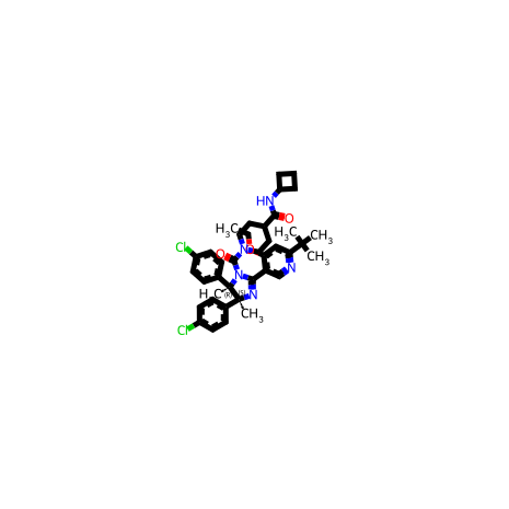 CCOc1cc(C(C)(C)C)ncc1C1=N[C@@](C)(c2ccc(Cl)cc2)[C@@](C)(c2ccc(Cl)cc2)N1C(=O)N1CCC(C(=O)NC2CCC2)CC1